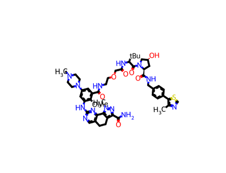 COc1c(Nc2ncc3c(n2)-c2c(c(C(N)=O)nn2C)CC3)cc(N2CCN(C)CC2)cc1C(=O)NCCOCC(=O)NC(C(=O)N1C[C@H](O)C[C@H]1C(=O)NCc1ccc(-c2scnc2C)cc1)C(C)(C)C